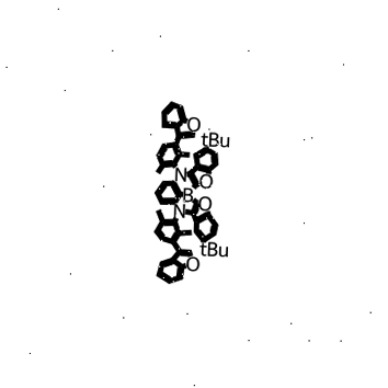 Cc1ccc(-c2coc3ccccc23)c(C)c1N1c2cccc3c2B(c2oc4ccc(C(C)(C)C)cc4c21)c1oc2ccc(C(C)(C)C)cc2c1N3c1c(C)ccc(-c2coc3ccccc23)c1C